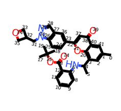 Cc1cc(C(C)Nc2ccccc2C(=O)OC(C)(C)C)c2oc(-c3ccc4c(cnn4CC4COC4)c3)cc(=O)c2c1